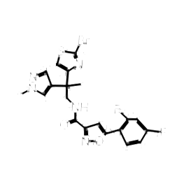 Cn1cc(C(C)(CNC(=O)c2cc(-c3ccc(F)cc3F)on2)c2csc(Br)n2)cn1